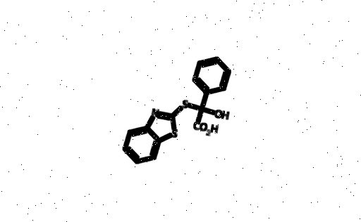 O=C(O)C(O)(Sc1nc2ccccc2s1)c1ccccc1